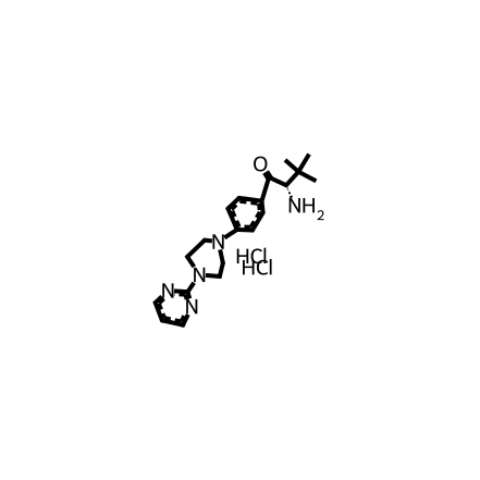 CC(C)(C)[C@H](N)C(=O)c1ccc(N2CCN(c3ncccn3)CC2)cc1.Cl.Cl